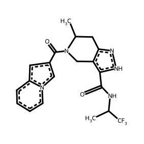 CC1Cc2n[nH]c(C(=O)NC(C)C(F)(F)F)c2CN1C(=O)c1cc2ccccn2c1